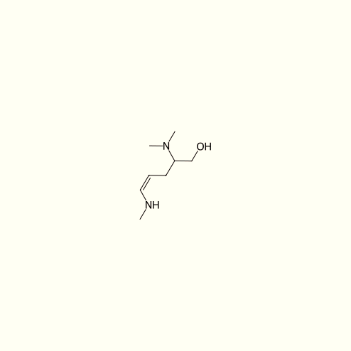 CN/C=C\CC(CO)N(C)C